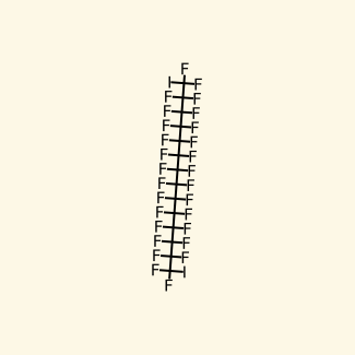 FC(F)(I)C(F)(F)C(F)(F)C(F)(F)C(F)(F)C(F)(F)C(F)(F)C(F)(F)C(F)(F)C(F)(F)C(F)(F)C(F)(F)C(F)(F)C(F)(F)I